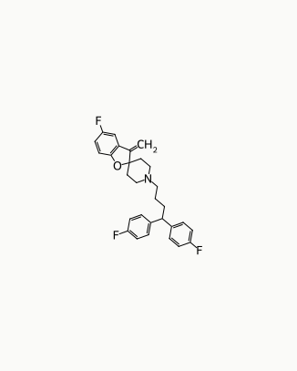 C=C1c2cc(F)ccc2OC12CCN(CCCC(c1ccc(F)cc1)c1ccc(F)cc1)CC2